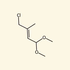 COC(/C=C(\C)CCl)OC